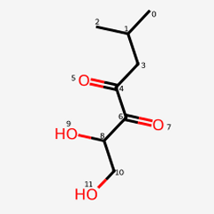 CC(C)CC(=O)C(=O)C(O)CO